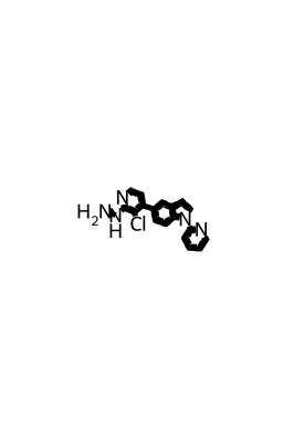 NNc1nccc(-c2ccc3c(ccn3-c3ccccn3)c2)c1Cl